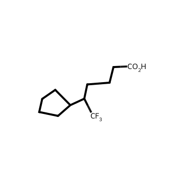 O=C(O)CCCC(C1CCCC1)C(F)(F)F